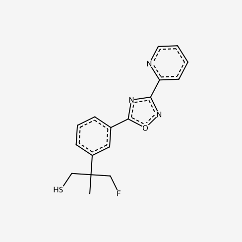 CC(CF)(CS)c1cccc(-c2nc(-c3ccccn3)no2)c1